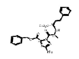 CCOC(=O)[C@H](CCc1ccccc1)N[C@@H](C)C(=O)N1N=C(C(C)(C)C)S[C@H]1C(=O)OCc1ccccc1